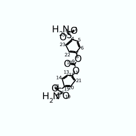 NS(=O)(=O)c1ccc(OC(=O)Oc2ccc(S(N)(=O)=O)cc2)cc1